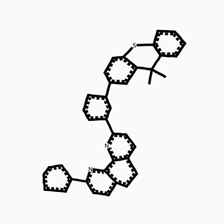 CC1(C)c2ccccc2Sc2ccc(-c3cccc(-c4ccc5ccc6ccc(-c7ccccc7)nc6c5n4)c3)cc21